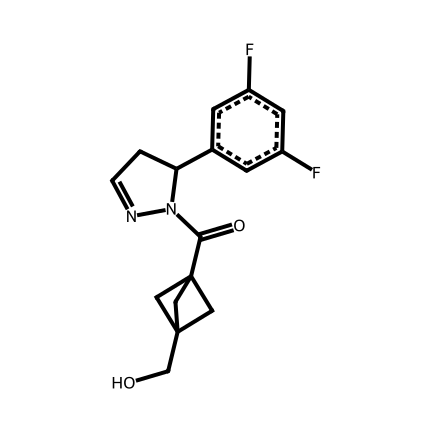 O=C(N1N=CCC1c1cc(F)cc(F)c1)C12CC(CO)(C1)C2